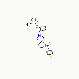 CC(C)COc1ccccc1CN1CCC2(CCCN(C(=O)c3ccc(Cl)cc3)C2)CC1